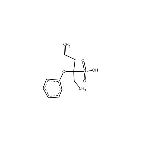 C=CCC(CC)(Oc1ccccc1)S(=O)(=O)O